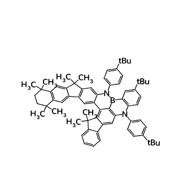 CC(C)(C)c1ccc(N2B3c4cc(C(C)(C)C)ccc4N(c4ccc(C(C)(C)C)cc4)c4cc5c(c(c43)-c3cc4c(cc32)C(C)(C)c2cc3c(cc2-4)C(C)(C)CCC3(C)C)C(C)(C)c2ccccc2-5)cc1